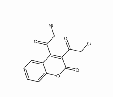 O=C(CCl)c1c(C(=O)CBr)c2ccccc2oc1=O